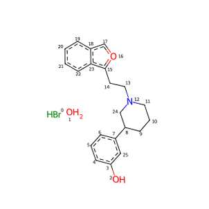 Br.O.Oc1cccc(C2CCCN(CCc3occ4ccccc34)C2)c1